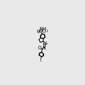 NS(=O)(=O)c1ccc2c(c1)CCC2N=[N+]=NC(=O)c1ccc(I)cc1